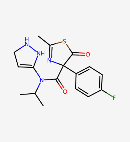 CC1=NC(C(=O)N(C2=CCNN2)C(C)C)(c2ccc(F)cc2)C(=O)S1